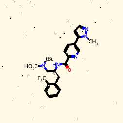 Cn1nccc1-c1ccc(C(=O)N[C@@H](Cc2ccccc2C(F)(F)F)CN(C(=O)O)C(C)(C)C)nc1